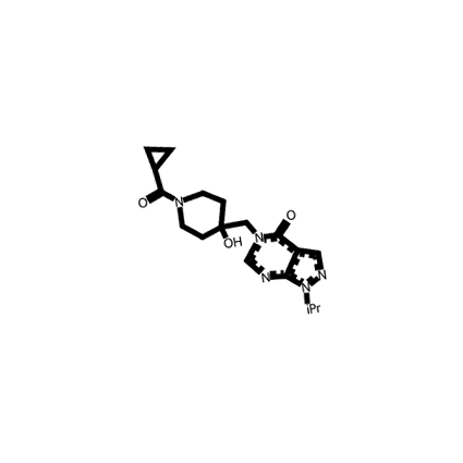 CC(C)n1ncc2c(=O)n(CC3(O)CCN(C(=O)C4CC4)CC3)cnc21